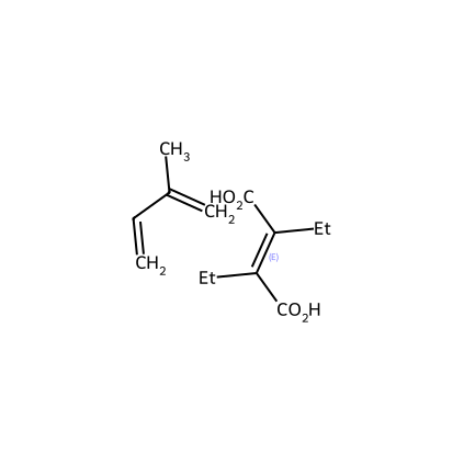 C=CC(=C)C.CC/C(C(=O)O)=C(/CC)C(=O)O